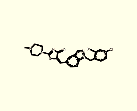 CN1CCN(C2=NC(=O)C(=Cc3ccc4c(cnn4Cc4ccc(Cl)cc4Br)c3)S2)CC1